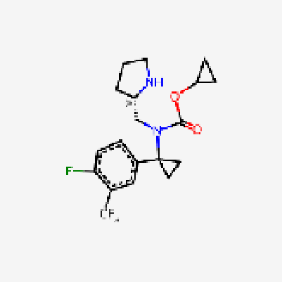 O=C(OC1CC1)N(C[C@@H]1CCCN1)C1(c2ccc(F)c(C(F)(F)F)c2)CC1